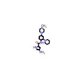 CN1CCN(c2ccc(NC(=O)c3cc(N)c[nH]3)c(N3CCCCC3)c2)CC1